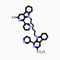 CCOC(=O)c1cc2c3ccccc3n(CCCCCCn3c4ccccc4c4cc(CC)nc(-c5cccnc5)c43)c2c(-c2cccnc2)n1